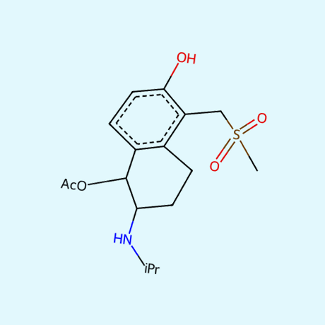 CC(=O)OC1c2ccc(O)c(CS(C)(=O)=O)c2CCC1NC(C)C